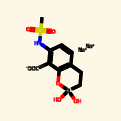 CS(=O)(=O)Nc1ccc2c(c1C(=O)[O-])O[B-](O)(O)CC2.[Na+].[Na+]